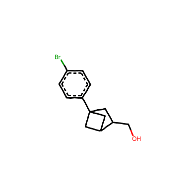 OCC1CC2(c3ccc(Br)cc3)CC1C2